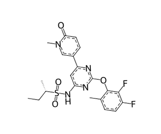 CC[C@H](C)S(=O)(=O)Nc1cc(-c2ccc(=O)n(C)c2)nc(Oc2c(C)ccc(F)c2F)n1